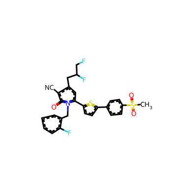 CS(=O)(=O)c1ccc(-c2ccc(-c3cc(CC(F)CF)c(C#N)c(=O)n3Cc3ccccc3F)s2)cc1